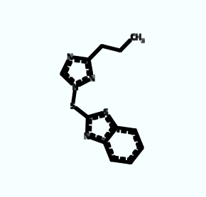 CCCc1ncn(Sc2nc3ccccc3s2)n1